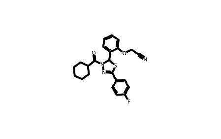 N#CCOc1ccccc1C1SC(c2ccc(F)cc2)=NN1C(=O)C1CCCCC1